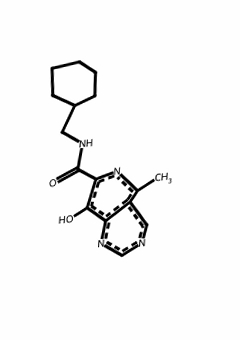 Cc1nc(C(=O)NCC2CCCCC2)c(O)c2ncncc12